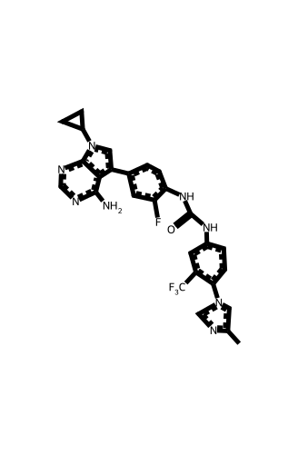 Cc1cn(-c2ccc(NC(=O)Nc3ccc(-c4cn(C5CC5)c5ncnc(N)c45)cc3F)cc2C(F)(F)F)cn1